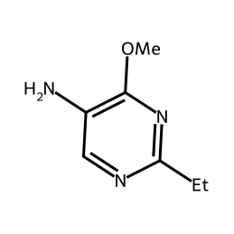 CCc1ncc(N)c(OC)n1